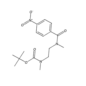 CN(CCN(C)C(=O)c1ccc([N+](=O)[O-])cc1)C(=O)OC(C)(C)C